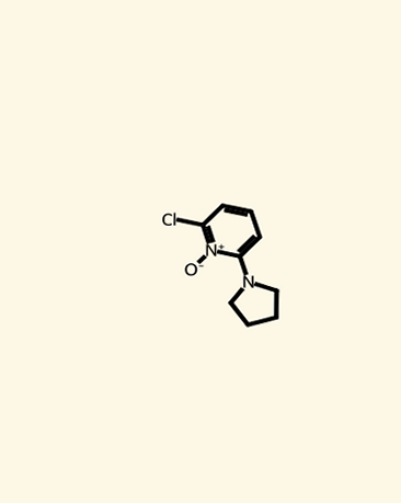 [O-][n+]1c(Cl)cccc1N1CCCC1